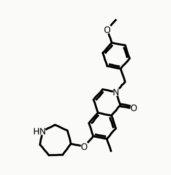 COc1ccc(Cn2ccc3cc(OC4CCCNCC4)c(C)cc3c2=O)cc1